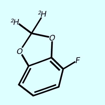 [2H]C1([2H])Oc2cccc(F)c2O1